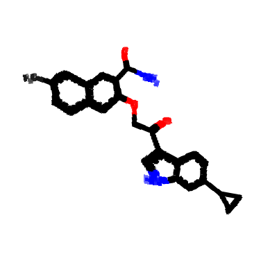 NC(=O)c1cc2cc(C(F)(F)F)ccc2cc1OCC(=O)c1c[nH]c2cc(C3CC3)ccc12